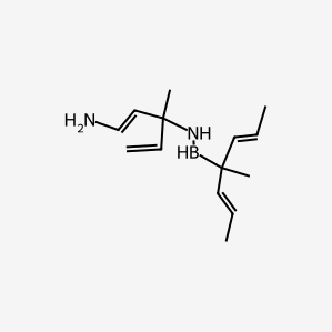 C=CC(C)(C=CN)NBC(C)(C=CC)C=CC